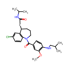 COc1cc(C(=O)N2CCCC(CC(=O)NC(C)C)c3cc(Cl)ccc32)ccc1NCC(C)C